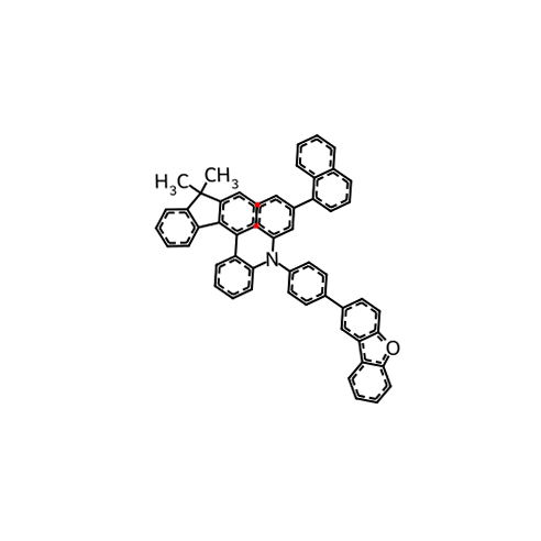 CC1(C)c2ccccc2-c2c(-c3ccccc3N(c3ccc(-c4ccc5oc6ccccc6c5c4)cc3)c3cccc(-c4cccc5ccccc45)c3)cccc21